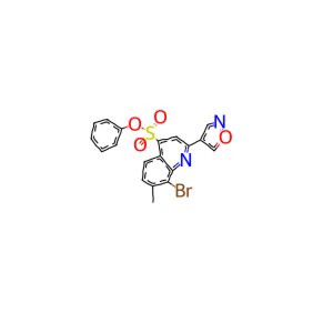 Cc1ccc2c(S(=O)(=O)Oc3ccccc3)cc(-c3cnoc3)nc2c1Br